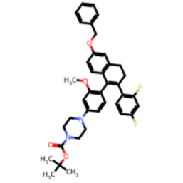 COc1cc(N2CCN(C(=O)OC(C)(C)C)CC2)ccc1C1=C(c2ccc(F)cc2F)CCc2cc(OCc3ccccc3)ccc21